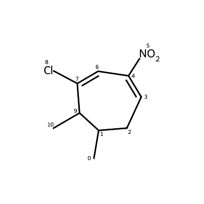 CC1CC=C([N+](=O)[O-])C=C(Cl)C1C